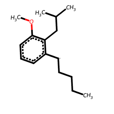 CCCC[CH]c1cccc(OC)c1CC(C)C